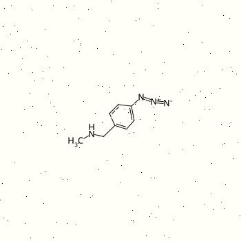 CNCc1ccc(N=[N+]=[N-])cc1